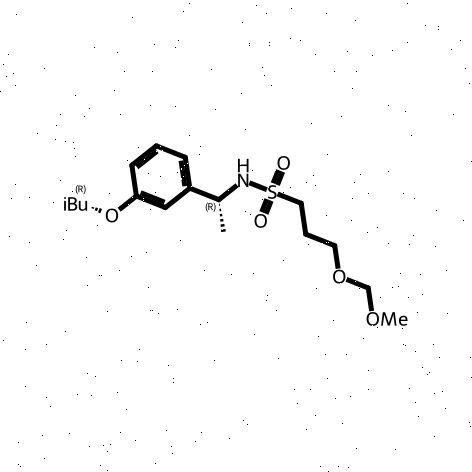 CC[C@@H](C)Oc1cccc([C@@H](C)NS(=O)(=O)CCCOCOC)c1